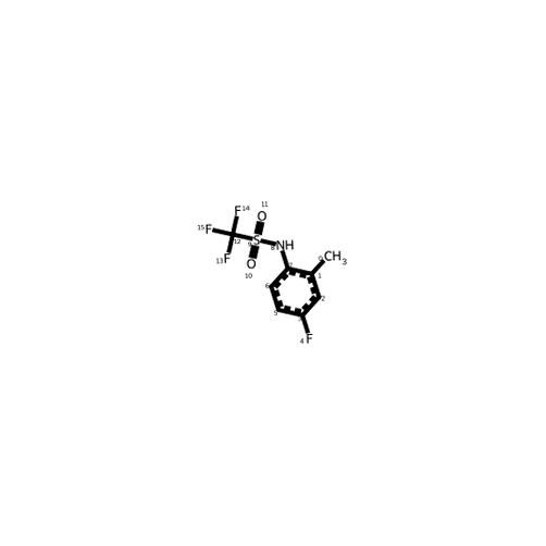 Cc1cc(F)ccc1NS(=O)(=O)C(F)(F)F